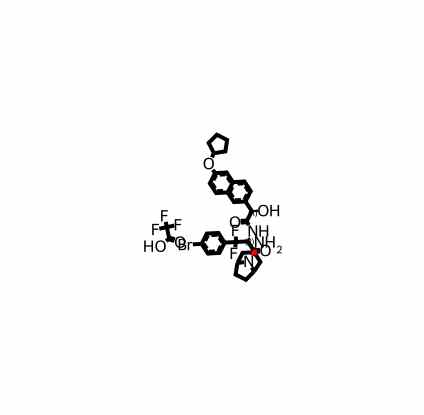 NC1CC2CCC(C1)N2C(=O)[C@@H](NC(=O)[C@H](O)c1ccc2cc(OC3CCCC3)ccc2c1)C(F)(F)c1ccc(Br)cc1.O=C(O)C(F)(F)F